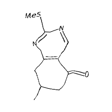 CSc1ncc2c(n1)CC(C)CC2=O